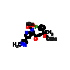 COCOC(C)(C#CC(=O)c1cn(C(=O)OC(C)(C)C)c2ncc(-c3cnn(C)c3)cc12)c1cccc(F)c1